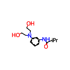 CC(C)C(=O)Nc1cccc(N(CCO)CCO)c1